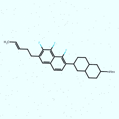 CC=CCCc1cc2ccc(C3CCC4CC(CCCCCC)CCC4C3)c(F)c2c(F)c1F